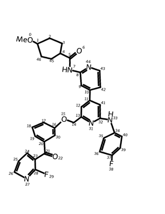 COC1CCC(C(=O)Nc2cc(-c3cc(COc4cccc(C(=O)c5cccnc5F)c4)nc(Nc4ccc(F)cc4)c3)ccn2)CC1